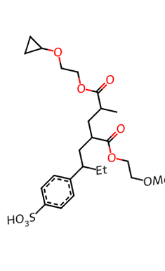 CCC(CC(CC(C)C(=O)OCCOC1CC1)C(=O)OCCOC)c1ccc(S(=O)(=O)O)cc1